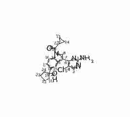 Nc1ncc(Cl)c(-c2cn(C(=O)C3CC3)c3ccc(C4(O)CCCC4)cc23)n1